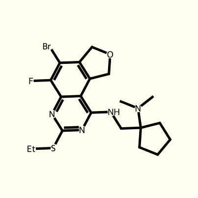 CCSc1nc(NCC2(N(C)C)CCCC2)c2c3c(c(Br)c(F)c2n1)COC3